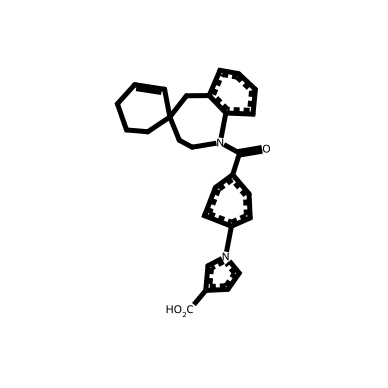 O=C(O)c1ccn(-c2ccc(C(=O)N3CCC4(C=CCCC4)Cc4ccccc43)cc2)c1